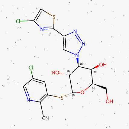 N#Cc1ncc(Cl)cc1S[C@H]1O[C@H](CO)[C@H](O)[C@H](n2cc(-c3nc(Cl)cs3)nn2)[C@H]1O